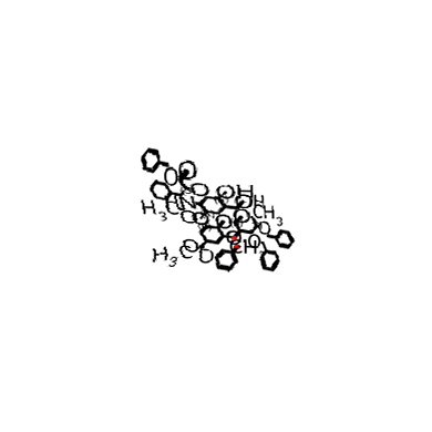 CCC1CC(C(=O)OC)C[C@@H](O[C@@H]2CC(CO)[C@H](O)C(O[C@@H](CC3CCCCC3)C(=O)OCc3ccccc3)C2NC(C)=O)C1O[C@@H]1OC(C)[C@@H](OCc2ccccc2)C(OCc2ccccc2)C1OCc1ccccc1